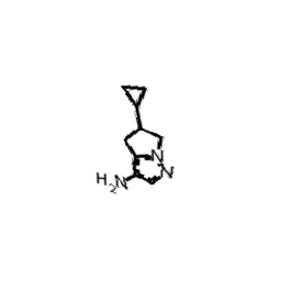 Nc1cnn2c1CC(C1CC1)C2